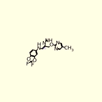 Cc1cnc(OC/C(=C/Nc2ccc3c(c2)OC(F)(F)O3)N=N)nc1